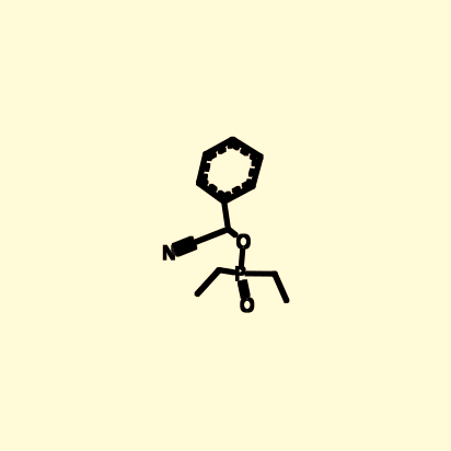 CCP(=O)(CC)OC(C#N)c1ccccc1